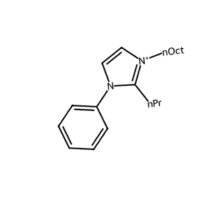 CCCCCCCC[n+]1ccn(-c2ccccc2)c1CCC